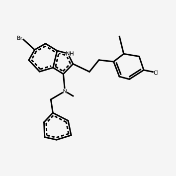 CC1CC(Cl)=CC=C1CCc1[nH]c2cc(Br)ccc2c1N(C)Cc1ccccc1